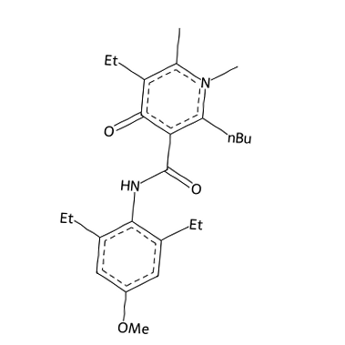 CCCCc1c(C(=O)Nc2c(CC)cc(OC)cc2CC)c(=O)c(CC)c(C)n1C